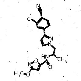 COc1cc(C(=O)NC(C)Cn2ccc(-c3ccc(C#N)c(Cl)c3)n2)on1